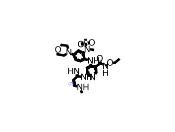 CCONC(=O)c1cnc(NC(=N)/C=C\NC)cc1Nc1ccc(N2CCOCC2)cc1N(C)S(C)(=O)=O